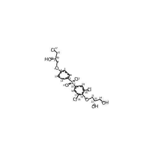 O=S(=O)(c1ccc(OC[C@@H](O)CCl)cc1)c1cc(Cl)c(OC[C@@H](O)CO)c(Cl)c1